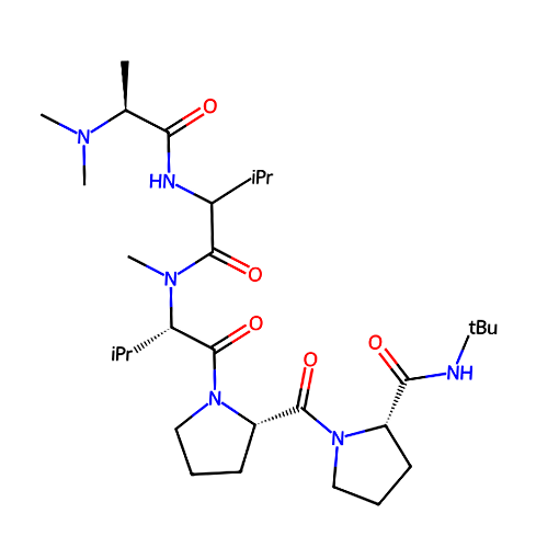 CC(C)C(NC(=O)[C@H](C)N(C)C)C(=O)N(C)[C@H](C(=O)N1CCC[C@H]1C(=O)N1CCC[C@H]1C(=O)NC(C)(C)C)C(C)C